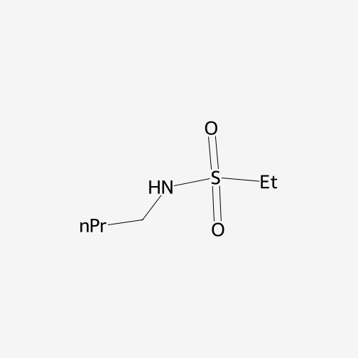 [CH2]CS(=O)(=O)NCCCC